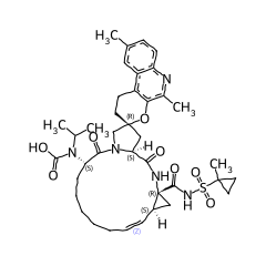 Cc1ccc2nc(C)c3c(c2c1)CC[C@]1(C[C@H]2C(=O)N[C@]4(C(=O)NS(=O)(=O)C5(C)CC5)C[C@H]4/C=C\CCCCC[C@H](N(C(=O)O)C(C)C)C(=O)N2C1)O3